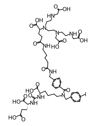 O=C(O)CC[C@@H](NC(=O)NC(CCCCN(Cc1ccc(I)cc1)C(=O)c1ccc(CNC(=O)CCCCNC(=O)CCC(C(=O)O)N(CCNCC(=O)O)CCN(CCNCC(=O)O)CC(=O)O)cc1)C(=O)O)C(=O)O